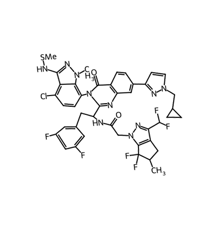 CSNc1nn(C)c2c(-n3c(C(Cc4cc(F)cc(F)c4)NC(=O)Cn4nc(C(F)F)c5c4C(F)(F)C(C)C5)nc4cc(-c5ccn(CC6CC6)n5)ccc4c3=O)ccc(Cl)c12